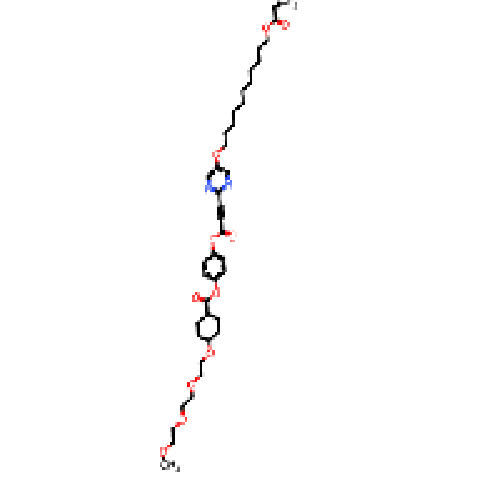 C=CC(=O)OCCCCCCCCCCCOc1cnc(C#CC(=O)Oc2ccc(OC(=O)C3CCC(OCCOCCOCCOC)CC3)cc2)nc1